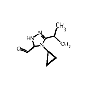 CC(C)C1=NNC(C=O)N1C1CC1